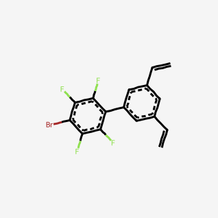 C=Cc1cc(C=C)cc(-c2c(F)c(F)c(Br)c(F)c2F)c1